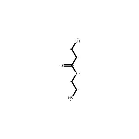 S=C(CCS)SCCS